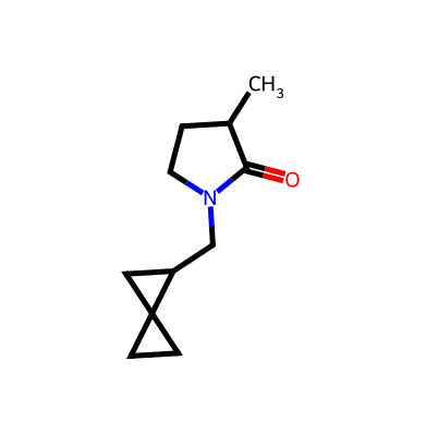 CC1CCN(CC2CC23CC3)C1=O